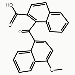 COc1ccc(C(=O)c2c(C(=O)O)ccc3ccccc23)c2ccccc12